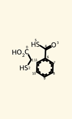 O=C(O)CS.O=C(S)c1ccccc1